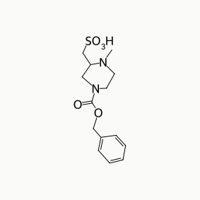 CN1CCN(C(=O)OCc2ccccc2)CC1CS(=O)(=O)O